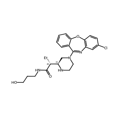 CC[C@@H](C(=O)NCCCO)[C@H]1CN(C2=Nc3cc(Cl)ccc3Oc3ccccc32)CCN1